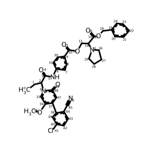 CCC(C(=O)Nc1ccc(C(=O)OCC(C(=O)OCc2ccccc2)N2CCCC2)cc1)n1cc(OC)c(-c2cc(Cl)ccc2C#N)cc1=O